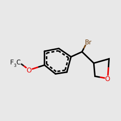 FC(F)(F)Oc1ccc(C(Br)C2COC2)cc1